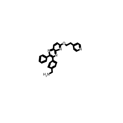 NCc1ccc(-c2nc3nc(OCCc4ccncc4)ccc3nc2-c2ccccc2)cc1